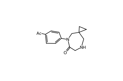 CC(=O)c1ccc(N2CC3(CC3)CNCC2=O)cc1